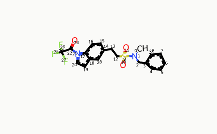 CN(Cc1ccccc1)S(=O)(=O)CCc1ccc2c(ccn2C(=O)C(F)(F)F)c1